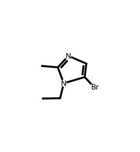 CCn1c(Br)cnc1C